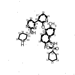 Cc1ccc2c(NS(=O)(=O)C3CCCCC3)c(F)ccc2c1Oc1ncccc1-c1ccnc(N[C@H]2CCCNC2)n1